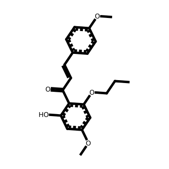 CCCOc1cc(OC)cc(O)c1C(=O)/C=C/c1ccc(OC)cc1